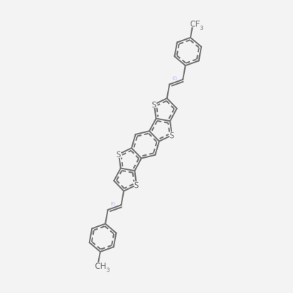 Cc1ccc(/C=C/c2cc3sc4cc5c(cc4c3s2)sc2cc(/C=C/c3ccc(C(F)(F)F)cc3)sc25)cc1